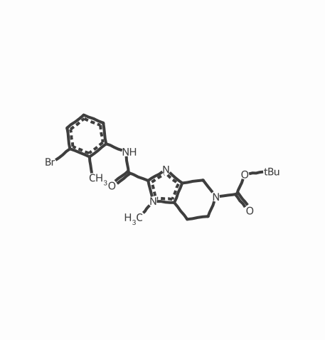 Cc1c(Br)cccc1NC(=O)c1nc2c(n1C)CCN(C(=O)OC(C)(C)C)C2